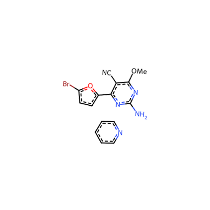 COc1nc(N)nc(-c2ccc(Br)o2)c1C#N.c1ccncc1